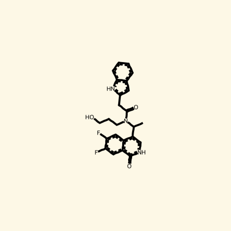 CC(c1c[nH]c(=O)c2cc(F)c(F)cc12)N(CCCO)C(=O)Cc1cc2ccccc2[nH]1